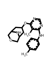 Cc1ccc(Nc2ncnc(OC3CC4COCC(C3)N4)c2C)cc1